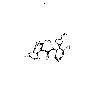 Nc1nn2cc(F)cnc2c1C(=O)Nc1cncc(Cl)c1N1CCC(O)C1